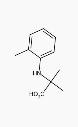 Cc1ccccc1NC(C)(C)C(=O)O